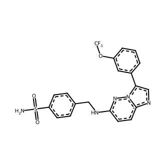 NS(=O)(=O)c1ccc(CNc2ccc3ncc(-c4cccc(OC(F)(F)F)c4)n3n2)cc1